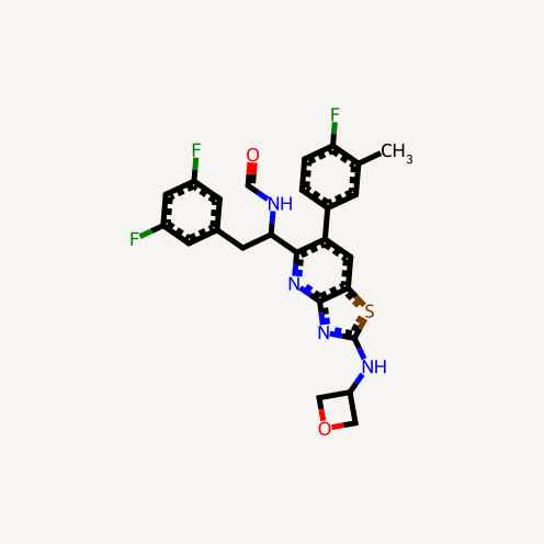 Cc1cc(-c2cc3sc(NC4COC4)nc3nc2C(Cc2cc(F)cc(F)c2)NC=O)ccc1F